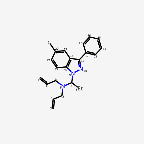 C=CCN(CC=C)C(CC)n1nc(-c2ccccc2)c2cc(C)ccc21